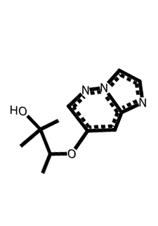 CC(Oc1cnn2ccnc2c1)C(C)(C)O